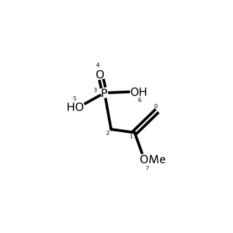 C=C(CP(=O)(O)O)OC